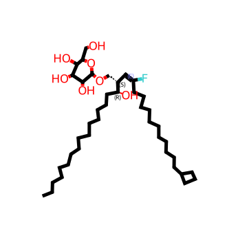 CCCCCCCCCCCCCCC[C@@H](O)[C@@H](/C=C(/F)CCCCCCCCCCCC1CCC1)COC1OC(CO)C(O)C(O)C1O